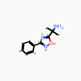 CC(C)(N)c1nc(-c2ccccc2)no1